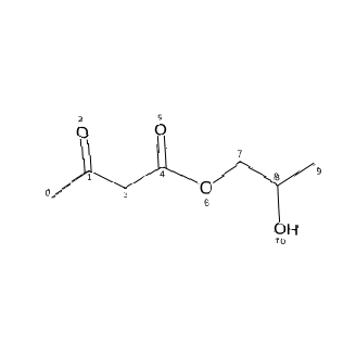 CC(=O)CC(=O)OCC(C)O